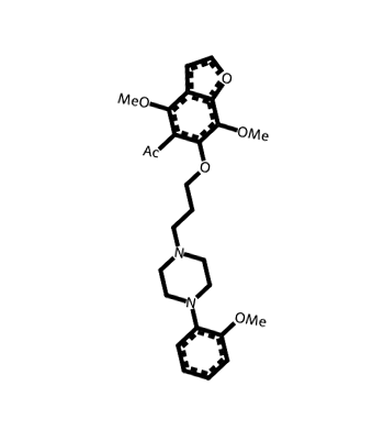 COc1ccccc1N1CCN(CCCOc2c(C(C)=O)c(OC)c3ccoc3c2OC)CC1